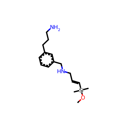 CO[Si](C)(C)C=CCNCc1cccc(CCCN)c1